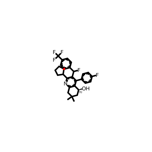 CC1(C)Cc2nc(C3CCCC3)c(C(F)c3ccc(C(F)(F)F)cc3)c(-c3ccc(F)cc3)c2[C@@H](O)C1